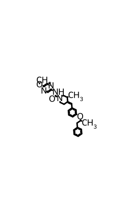 COc1cnc(NC(=O)N2CC/C(=C\c3cccc(OC(C)Cc4ccccc4)c3)C(C)C2)cn1